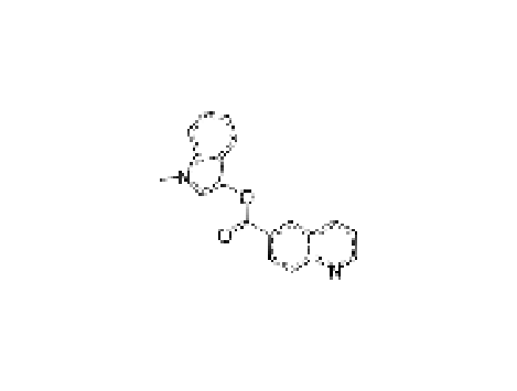 Cn1cc(OC(=O)c2ccc3ncccc3c2)c2ccccc21